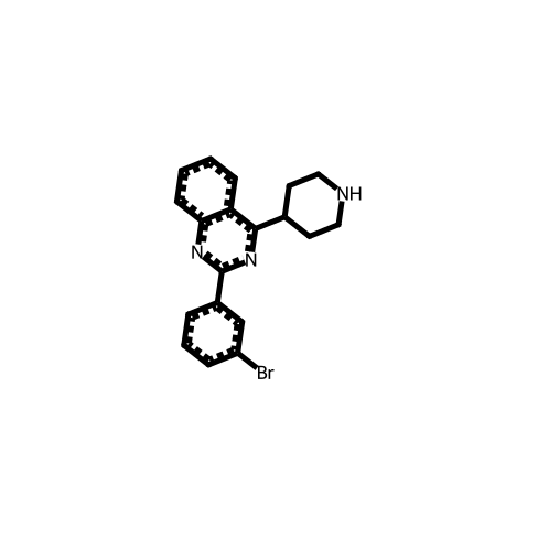 Brc1cccc(-c2nc(C3CCNCC3)c3ccccc3n2)c1